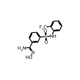 NC(=NO)c1cccc(S(=O)(=O)Nc2ccccc2C(F)(F)F)c1